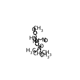 COc1ccc(CNc2nc3ccc(C(=O)N(CCC(C)C)CCC(C)C)cc3n2CCCN2CCCCC2)cc1